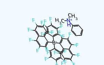 C[NH+](C)c1ccccc1.Fc1c(F)c(F)c([B-](c2c(F)c(F)c(F)c(F)c2F)(c2c(F)c(F)c(F)c3c(F)c(F)c(F)c(F)c23)c2c(F)c(F)c(F)c3c(F)c(F)c(F)c(F)c23)c(F)c1F